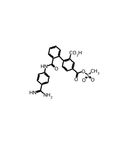 CS(=O)(=O)OC(=O)c1ccc(-c2ccccc2C(=O)Nc2ccc(C(=N)N)cc2)c(C(=O)O)c1